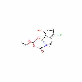 CCOC(=O)OC1c2c(O)ccc(F)c2C=CN1C(C)=O